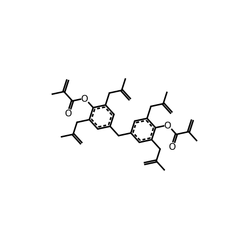 C=C(C)Cc1cc(Cc2cc(CC(=C)C)c(OC(=O)C(=C)C)c(CC(=C)C)c2)cc(CC(=C)C)c1OC(=O)C(=C)C